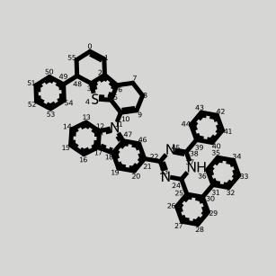 C1=Cc2c(sc3c2CCC=C3n2c3ccccc3c3ccc(C4=NC(c5ccccc5-c5ccccc5)NC(c5ccccc5)=N4)cc32)C(c2ccccc2)C1